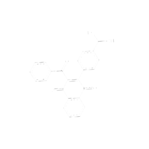 CC(C)c1ccc(C2=C(C(=O)c3ccccc3)C(=O)c3ccccc3C2=O)cc1